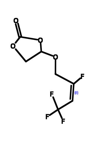 O=C1OCC(OC/C(F)=C\C(F)(F)F)O1